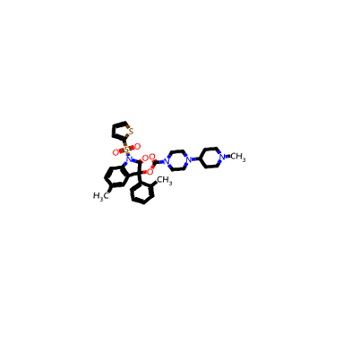 Cc1ccc2c(c1)C(OC(=O)N1CCN(C3CCN(C)CC3)CC1)(c1ccccc1C)C(=O)N2S(=O)(=O)c1cccs1